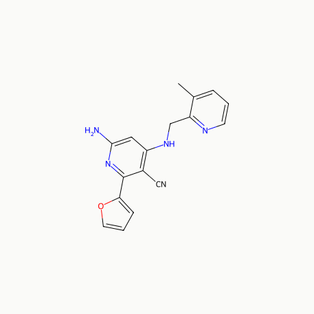 Cc1cccnc1CNc1cc(N)nc(-c2ccco2)c1C#N